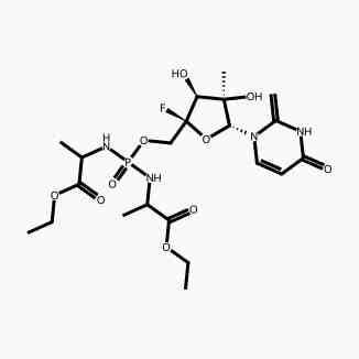 C=C1NC(=O)C=CN1[C@@H]1O[C@](F)(COP(=O)(NC(C)C(=O)OCC)NC(C)C(=O)OCC)[C@@H](O)[C@@]1(C)O